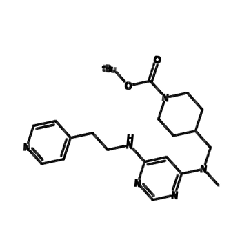 CN(CC1CCN(C(=O)OC(C)(C)C)CC1)c1cc(NCCc2ccncc2)ncn1